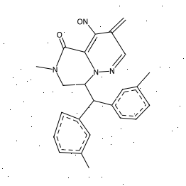 C=C1C=NN2C(=C1N=O)C(=O)N(C)CC2C(c1cccc(C)c1)c1cccc(C)c1